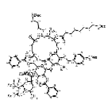 CCCCCCCCCCCCCCCCCC(=O)N[C@H]1COC2O[C@@H](COC(=O)CCC(=O)O[C@H](CCCCCCCCCCCCCC)[C@H]1OC(C)=O)C(OC1OC(COC(=O)c3ccccc3)C(C)C(O[C@]3(C(=O)OC)CC(C)[C@@H](C)[C@@](C)([C@@H](COC(C)=O)OC(C)=O)O3)C1OC(=O)c1ccccc1)C(C)C2OCc1ccc(OC)cc1